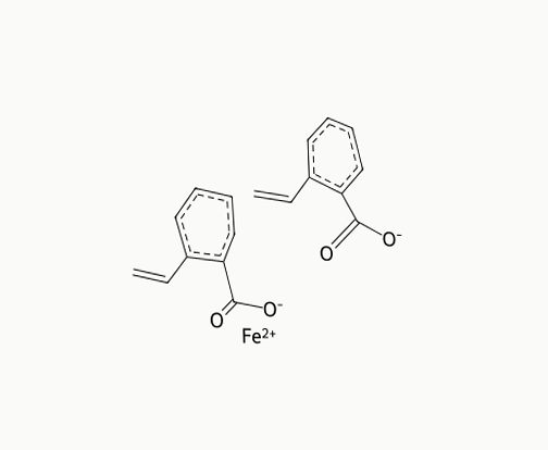 C=Cc1ccccc1C(=O)[O-].C=Cc1ccccc1C(=O)[O-].[Fe+2]